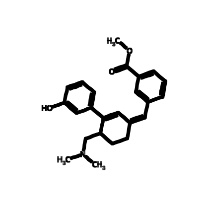 COC(=O)c1cccc(/C=C2\C=C(c3cccc(O)c3)C(CN(C)C)CC2)c1